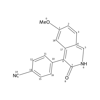 COc1ccc2c[nH]c(=O)c(-c3ccc(C#N)cc3)c2c1